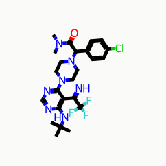 CN(C)C(=O)C(c1ccc(Cl)cc1)N1CCN(c2ncnc(NC(C)(C)C)c2C(=N)C(F)(F)F)CC1